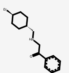 CC[C@H]1CC[C@H](CNCC(=O)c2ccccc2)CC1